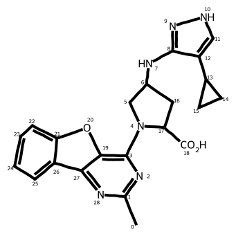 Cc1nc(N2CC(Nc3n[nH]cc3C3CC3)CC2C(=O)O)c2oc3ccccc3c2n1